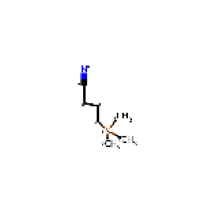 CS(C)(C)CCCC#N